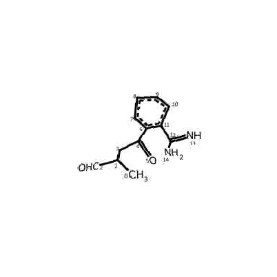 CC([C]=O)CC(=O)c1ccccc1C(=N)N